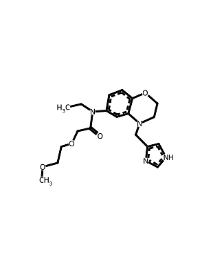 CCN(C(=O)COCCOC)c1ccc2c(c1)N(Cc1c[nH]cn1)CCO2